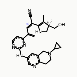 C=C(/C=C(/C#N)C1=C(C)[C@@](C)(CO)CN1)c1ccnc(Nc2cnc3c(c2)CN(C2CC2)CC3)n1